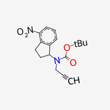 C#CCN(C(=O)OC(C)(C)C)C1CCc2c1cccc2[N+](=O)[O-]